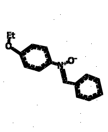 CCOc1ccc([N+]([O-])=Cc2ccccc2)cc1